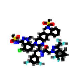 CN(c1ccccc1-c1ccc2c(c1)N=C([C@H](Cc1cc(F)cc(F)c1)NC(=O)Cn1nc(C(F)F)c3c1C(F)(F)[C@@H]1C[C@H]31)N(c1ccc(Cl)c3c(NS(C)(=O)=O)nn(C)c13)C2)S(C)(=O)=O